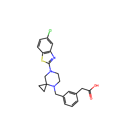 O=C(O)Cc1cccc(CN2CCN(c3nc4cc(Cl)ccc4s3)CC23CC3)c1